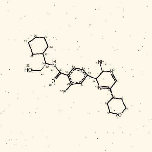 NC1N=CC(C2CCOCC2)=NC1c1ccc(C(=O)N[C@H](CO)C2CCCCC2)c(F)c1